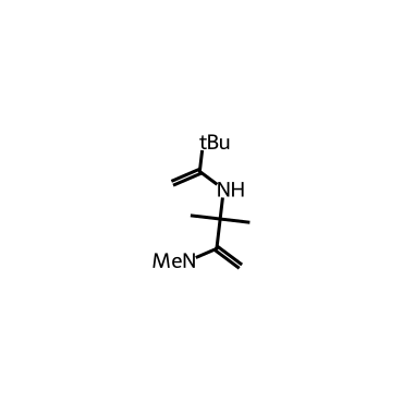 C=C(NC(C)(C)C(=C)NC)C(C)(C)C